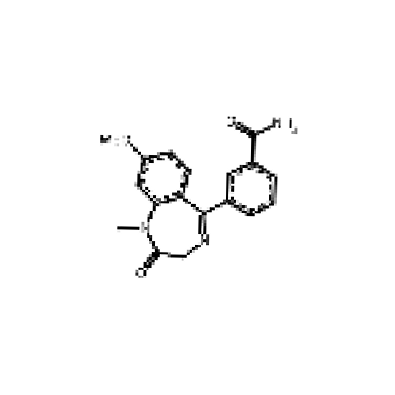 COc1ccc2c(c1)N(C)C(=O)CN=C2c1cccc(C(N)=O)c1